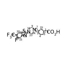 O=C(O)Cc1cccc(CN2CCN(c3nc4cc(F)c(C(F)(F)F)cc4s3)CC2)c1